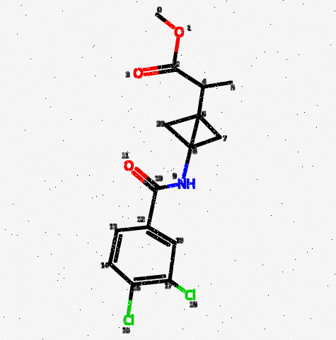 COC(=O)C(C)C12CC1(NC(=O)c1ccc(Cl)c(Cl)c1)C2